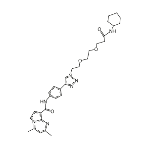 Cc1cc(C)n2ccc(C(=O)Nc3ccc(-c4cn(CCOCCOCCC(=O)NC5CCCCC5)nn4)cc3)c2n1